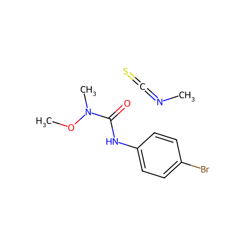 CN=C=S.CON(C)C(=O)Nc1ccc(Br)cc1